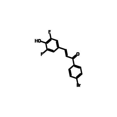 O=C(C=Cc1cc(F)c(O)c(F)c1)c1ccc(Br)cc1